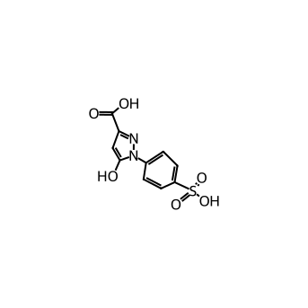 O=C(O)c1cc(O)n(-c2ccc(S(=O)(=O)O)cc2)n1